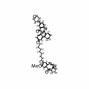 COc1cc2c(cc1OCCCCCCCOc1ccc(-n3c(-c4ccccc4)nc4ccc(N5CCOCC5)cc4c3=O)cc1)N=C[C@@H]1CCCN1C2=O